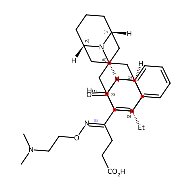 CC[C@@H]1C[C@H]2CC(N3[C@@H]4CCC[C@H]3C[C@@H](n3c(=O)c(/C(CCC(=O)O)=N/OCCN(C)C)nc5ccccc53)C4)C[C@@H](C1)C2